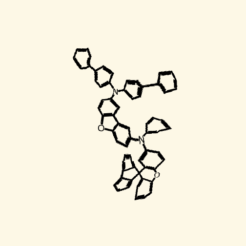 c1ccc(-c2ccc(N(c3ccc(-c4ccccc4)cc3)c3ccc4oc5ccc(N(c6ccccc6)c6ccc7c(c6)C6(c8ccccc8O7)c7ccccc7-c7ccccc76)cc5c4c3)cc2)cc1